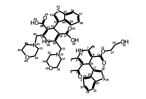 CC(=O)C1=C(C)NC(C)=C(C(=O)OCCO)C1c1csc2ccccc12.O=C(O)C1=C(CN2CCOCC2)NC(CN2CCOCC2)=C(C(=O)O)C1c1csc2ccccc12